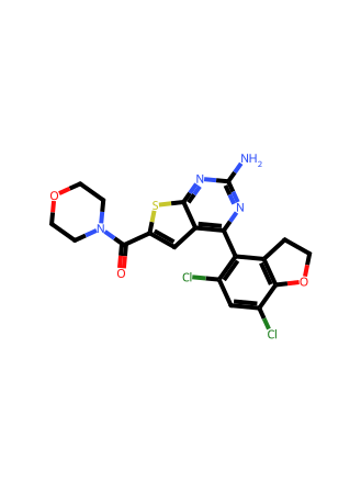 Nc1nc(-c2c(Cl)cc(Cl)c3c2CCO3)c2cc(C(=O)N3CCOCC3)sc2n1